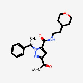 CNC(=O)c1cc(C(=O)NCCC2CCOCC2)n([C@@H](C)c2ccccc2)n1